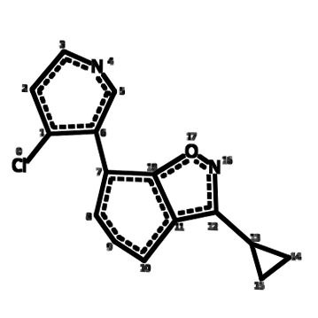 Clc1ccncc1-c1cccc2c(C3CC3)noc12